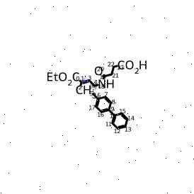 CCOC(=O)/C(C)=C/[C@@H](Cc1ccc(-c2ccccc2)cc1)NC(=O)CCC(=O)O